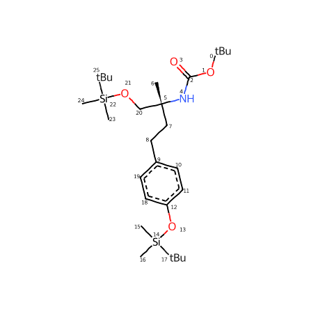 CC(C)(C)OC(=O)N[C@](C)(CCc1ccc(O[Si](C)(C)C(C)(C)C)cc1)CO[Si](C)(C)C(C)(C)C